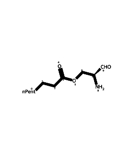 CCCCCCCC(=O)OC[C@H](N)C=O